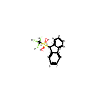 O=S(=O)(C1c2ccccc2-c2ccccc21)C(F)(F)F